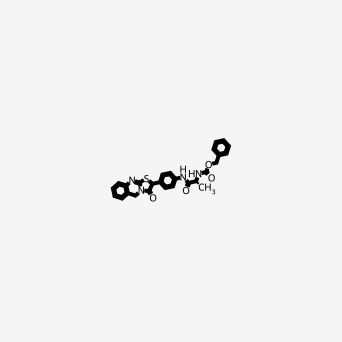 C[C@H](NC(=O)OCc1ccccc1)C(=O)Nc1ccc(C2SC3=Nc4ccccc4CN3C2=O)cc1